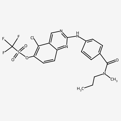 CCCN(C)C(=O)c1ccc(Nc2ncc3c(Cl)c(OS(=O)(=O)C(F)(F)F)ccc3n2)cc1